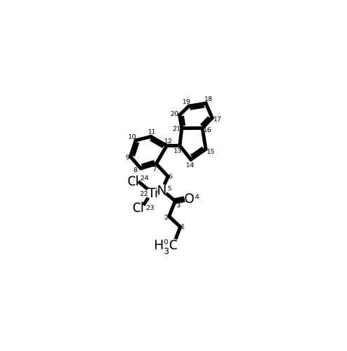 CCCC(=O)[N](Cc1ccccc1C1C=Cc2ccccc21)[Ti]([Cl])[Cl]